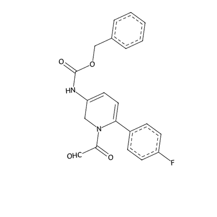 O=CC(=O)N1CC(NC(=O)OCc2ccccc2)=CC=C1c1ccc(F)cc1